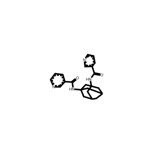 O=C(NC12CC3CC(C1)CC(NC(=O)c1cccnc1)(C3)C2)c1cccnc1